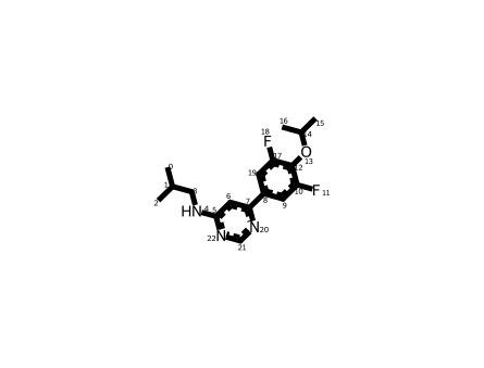 CC(C)CNc1cc(-c2cc(F)c(OC(C)C)c(F)c2)ncn1